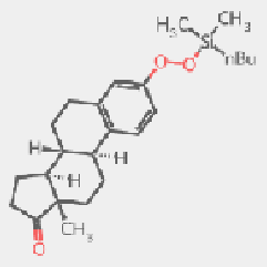 CCCC[Si](C)(C)OOc1ccc2c(c1)CC[C@@H]1[C@@H]2CC[C@]2(C)C(=O)CC[C@@H]12